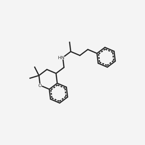 CC(CCc1ccccc1)NCC1CC(C)(C)Oc2ccccc21